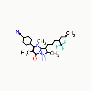 C=CCC(CCCC1C2N(C)C(C3CCC(C#N)CC3)=C(C)C(=O)N2N[C@@H]1C)C(F)(F)F